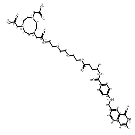 C[C@H](CCC(=O)NCCOCCOCCNC(=O)CN1CCN(CC(=O)O)CCN(CC(=O)O)CC1)NC(=O)c1ccc(NCc2cnc3nc(N)[nH]c(=O)c3n2)cc1